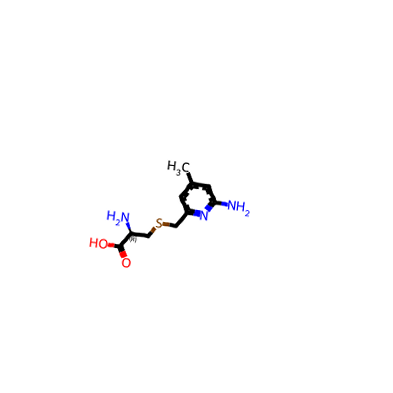 Cc1cc(N)nc(CSC[C@H](N)C(=O)O)c1